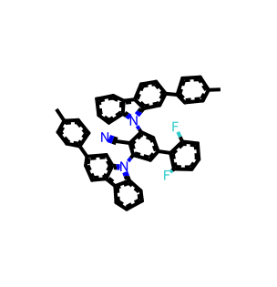 Cc1ccc(-c2ccc3c4ccccc4n(-c4cc(-c5c(F)cccc5F)cc(-n5c6ccccc6c6ccc(-c7ccc(C)cc7)cc65)c4C#N)c3c2)cc1